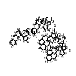 CC1=C[C](c2cccc3cc4ccccc4cc23)([Pt]([CH3])([CH3])[CH3])C=C1.C[C]1([Pt]([CH3])([CH3])[CH3])C=CC(c2ccc3ccc4cccc5ccc2c3c45)=C1.[CH3][Pt]([CH3])([CH3])[CH]1C=CC=C1c1cccc2cc3ccccc3cc12.[CH3][Pt]([CH3])([CH3])[C]1(c2ccc3ccc4cccc5ccc2c3c45)C=CC=C1